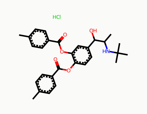 Cc1ccc(C(=O)Oc2ccc(C(O)C(C)NC(C)(C)C)cc2OC(=O)c2ccc(C)cc2)cc1.Cl